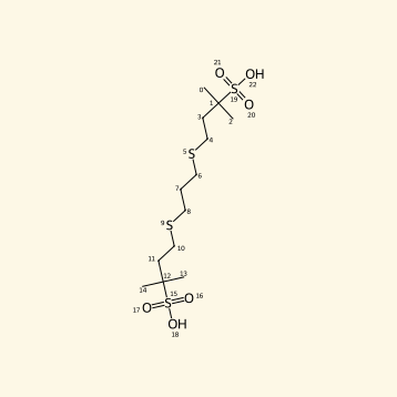 CC(C)(CCSCCCSCCC(C)(C)S(=O)(=O)O)S(=O)(=O)O